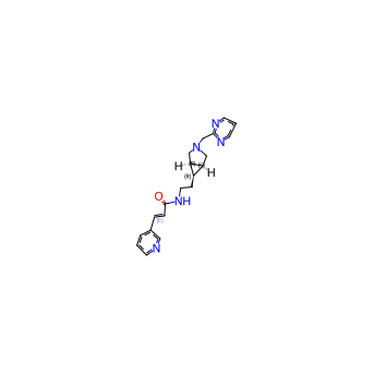 O=C(/C=C/c1cccnc1)NCC[C@H]1[C@H]2CN(Cc3ncccn3)C[C@@H]12